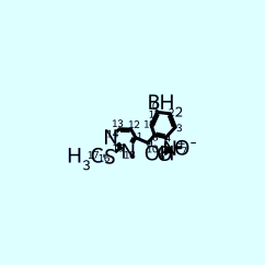 Bc1ccc([N+](=O)[O-])c(C(O)c2ccnc(SC)n2)c1